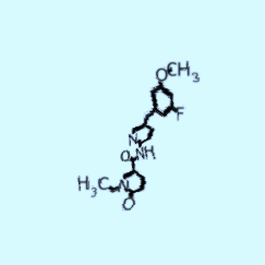 CCn1cc(C(=O)Nc2ccc(Cc3cc(F)cc(OC)c3)cn2)ccc1=O